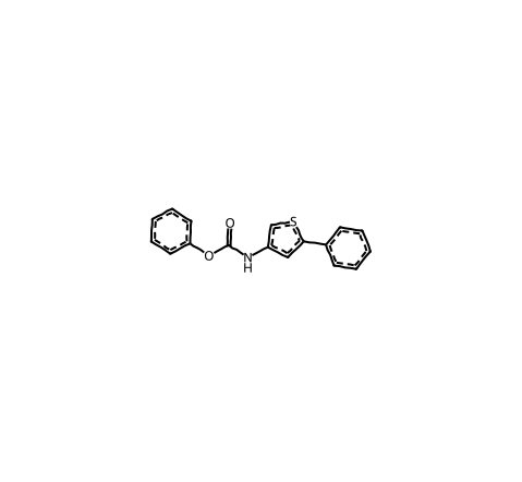 O=C(Nc1csc(-c2ccccc2)c1)Oc1ccccc1